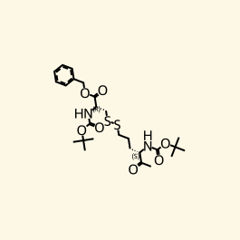 CC(=O)[C@H](CCCSSC[C@H](NC(=O)OC(C)(C)C)C(=O)OCc1ccccc1)NC(=O)OC(C)(C)C